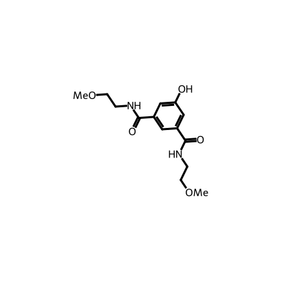 COCCNC(=O)c1cc(O)cc(C(=O)NCCOC)c1